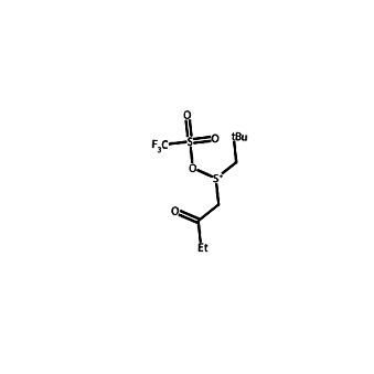 CCC(=O)C[S+](CC(C)(C)C)OS(=O)(=O)C(F)(F)F